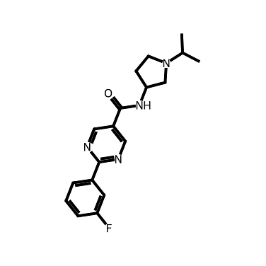 CC(C)N1CCC(NC(=O)c2cnc(-c3cccc(F)c3)nc2)C1